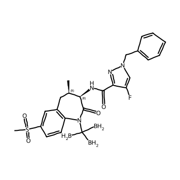 BC(B)(B)N1C(=O)[C@H](NC(=O)c2nn(Cc3ccccc3)cc2F)[C@H](C)Cc2cc(S(C)(=O)=O)ccc21